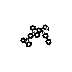 c1ccc(-c2ccc(-n3c4ccc(-c5ccccc5-n5c6ccccc6c6cc(-n7c8ccccc8c8ccccc87)ccc65)cc4c4cccnc43)cc2)cc1